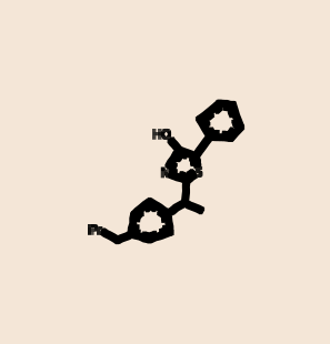 CC(C)Cc1ccc(C(C)c2nc(O)c(-c3ccccc3)s2)cc1